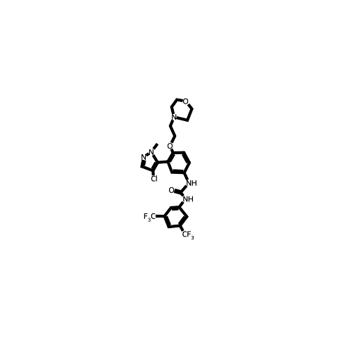 Cn1ncc(Cl)c1-c1cc(NC(=O)Nc2cc(C(F)(F)F)cc(C(F)(F)F)c2)ccc1OCCN1CCOCC1